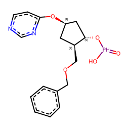 O=[PH](O)O[C@H]1C[C@H](Oc2ccncn2)C[C@@H]1COCc1ccccc1